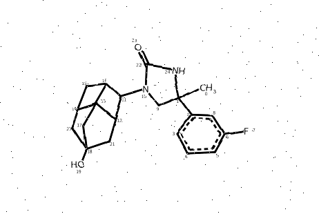 CC1(c2cccc(F)c2)CN(C2C3CC4CC2CC(O)(C4)C3)C(=O)N1